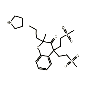 C1CCNC1.CCCC1(C)Oc2ccccc2C(CCS(C)(=O)=O)(CCS(C)(=O)=O)C1=O